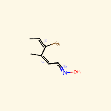 C\C=C(Br)/C(C)=C\C=N\O